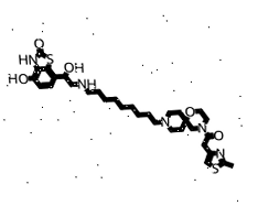 Cc1nc(CC(=O)N2CCOC3(CCN(CCCCCCCCCNCC(O)c4ccc(O)c5[nH]c(=O)sc45)CC3)C2)cs1